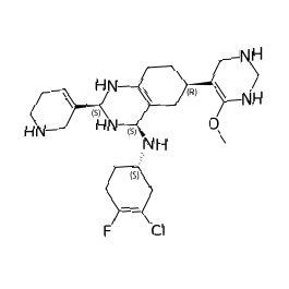 COC1=C([C@@H]2CCC3=C(C2)[C@@H](N[C@H]2CCC(F)=C(Cl)C2)N[C@@H](C2=CCCNC2)N3)CNCN1